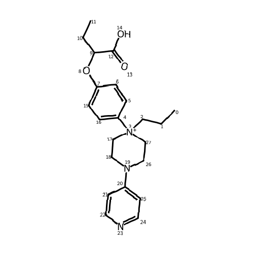 CCC[N+]1(c2ccc(OC(CC)C(=O)O)cc2)CCN(c2ccncc2)CC1